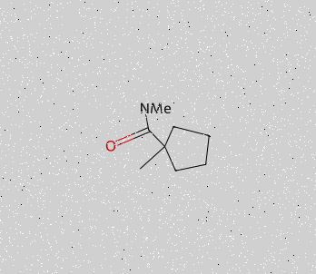 CNC(=O)C1(C)CCCC1